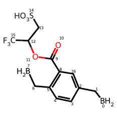 BCc1ccc(CB)c(C(=O)OC(CS(=O)(=O)O)C(F)(F)F)c1